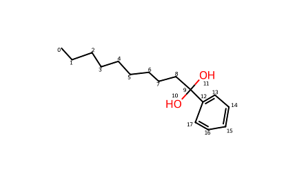 CCCCCCCCCC(O)(O)c1ccccc1